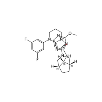 COc1cc(N2C[C@H]3CC[C@@H](C2)[C@H]3Nc2nc3n(n2)CCCN3c2cc(F)cc(F)c2)ccn1